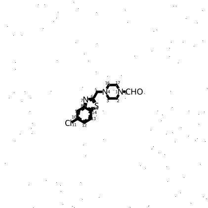 O=CN1CCN(Cc2nc3cc(Cl)ccc3s2)CC1